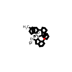 CCC1=Cc2cccc(-c3ccccc3)c2C1N(C1C(CC)=Cc2cccc(-c3ccccc3)c21)S(=O)(=O)c1ccc(C)cc1.[Cl-].[Y+]